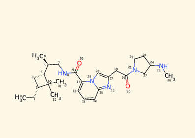 CC[C@@H]1C[C@H]([C@@H](C)CNC(=O)c2cccc3nc(CC(=O)N4CCC(NC)C4)cn23)C1(C)C